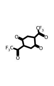 O=C1CC(C(=O)C(F)(F)F)C(=O)CC1C(=O)C(F)(F)F